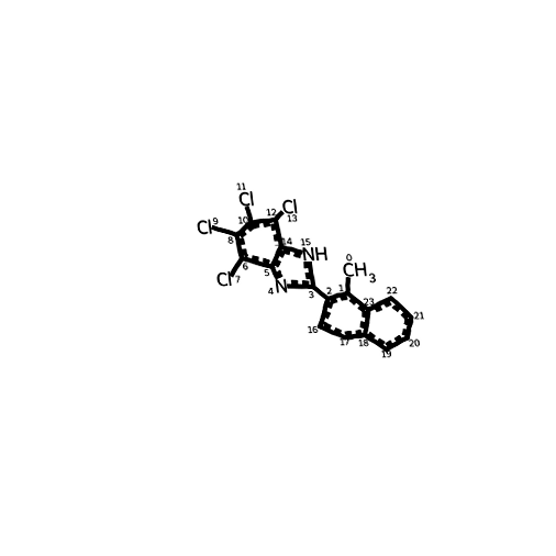 Cc1c(-c2nc3c(Cl)c(Cl)c(Cl)c(Cl)c3[nH]2)ccc2ccccc12